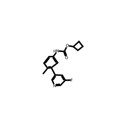 Cc1ccc(NC(=O)OC2CCC2)cc1-c1cncc(F)c1